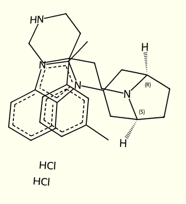 Cc1cccc(C2(CCN3[C@@H]4CC[C@H]3CC(n3c(C)nc5ccccc53)C4)CCNCC2)c1.Cl.Cl